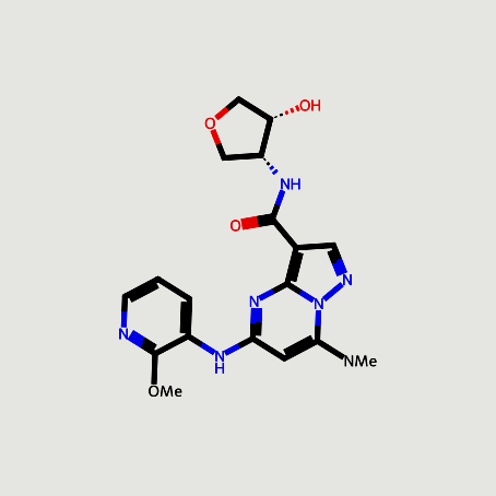 CNc1cc(Nc2cccnc2OC)nc2c(C(=O)N[C@@H]3COC[C@@H]3O)cnn12